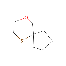 C1CCC2(C1)COCCS2